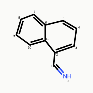 N=[C]c1cccc2ccccc12